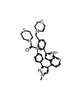 Cn1cc(-c2ccnc3[nH]c(-c4ccc(CN5CCOCC5)cc4)cc23)c(-c2ccc(NC(=O)N3CCSCC3)cc2)n1